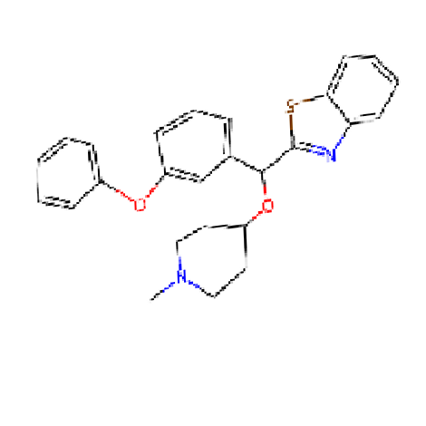 CN1CCC(OC(c2cccc(Oc3ccccc3)c2)c2nc3ccccc3s2)CC1